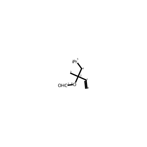 C=CC(C)(CC(C)C)OC=O